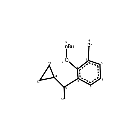 CCCCOc1c(Br)cccc1C(C)C1CC1